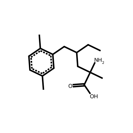 CCC(Cc1cc(C)ccc1C)CC(C)(N)C(=O)O